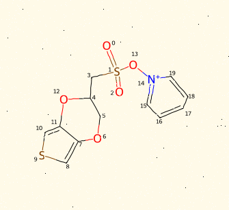 O=S(=O)(CC1COc2cscc2O1)O[n+]1ccccc1